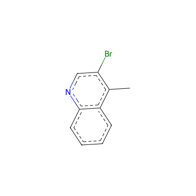 Cc1c(Br)cnc2ccccc12